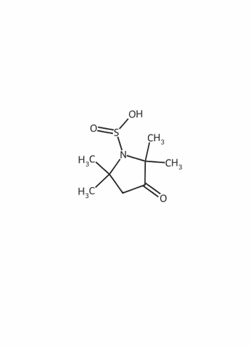 CC1(C)CC(=O)C(C)(C)N1S(=O)O